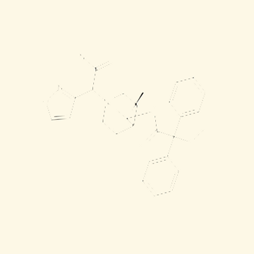 CCSC(C(=O)O[C@H]1C[N+]2(C(C(N)=O)c3ccon3)CCC1CC2)(c1ccccc1)c1ccccc1